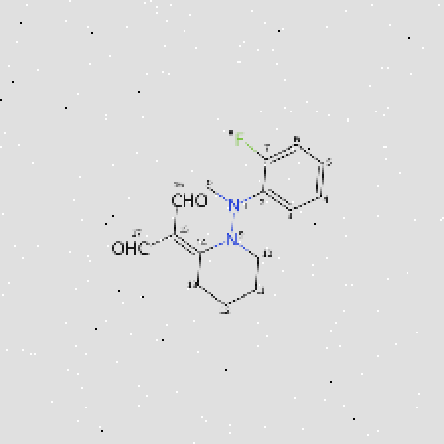 CN(c1ccccc1F)N1CCCCC1=C(C=O)C=O